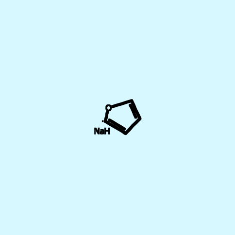 [NaH].[c]1ccco1